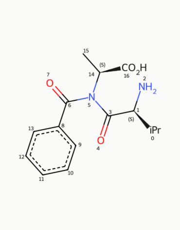 CC(C)[C@H](N)C(=O)N(C(=O)c1ccccc1)[C@@H](C)C(=O)O